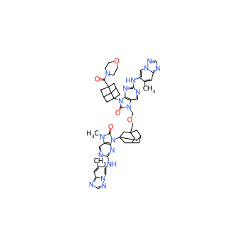 Cc1cc2ncnn2cc1Nc1ncc2c(n1)n(C13CC4CC(CC(COCn5c(=O)n(C67CC8CC9(C(=O)N%10CCOCC%10)CC(C6)C897)c6nc(Nc7cn8ncnc8cc7C)ncc65)(C4)C1)C3)c(=O)n2C